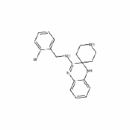 Brc1ccccc1CNC1=Nc2ccccc2NC12CCNCC2